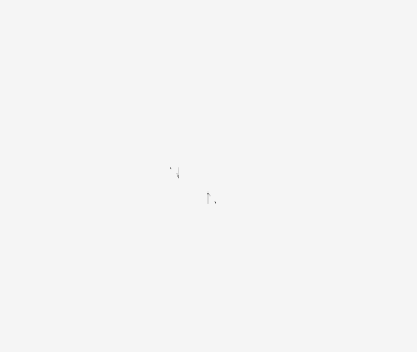 Cc1ccnc(-c2ccccc2C)n1